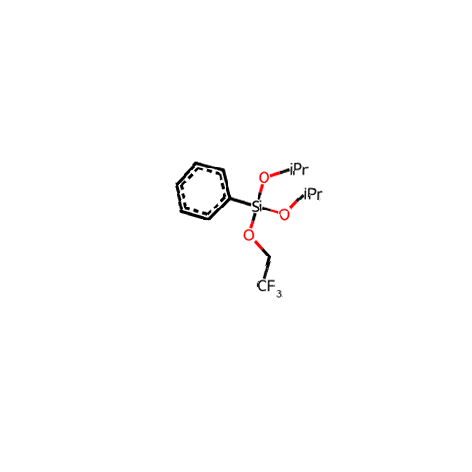 CC(C)O[Si](OCC(F)(F)F)(OC(C)C)c1ccccc1